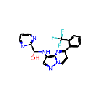 OC(Nc1cnn2ccc(-c3ccccc3C(F)(F)F)nc12)c1ncccn1